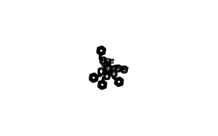 COCOC[C@H]1[C@H](OCc2ccccc2)[C@H](OCc2ccccc2)[C@H](OCc2ccccc2)[C@@H](COCc2ccccc2)C1(F)F